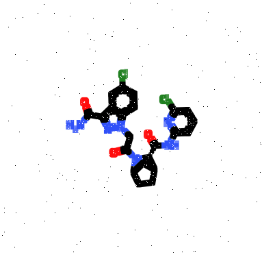 NC(=O)c1nn(CC(=O)N2C3CCC(C3)[C@H]2C(=O)Nc2cccc(Cl)n2)c2ccc(Cl)cc12